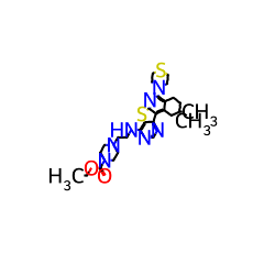 CCOC(=O)N1CCN(CCNc2ncnc3c2sc2nc(N4CCSCC4)c4c(c23)CC(C)(C)CC4)CC1